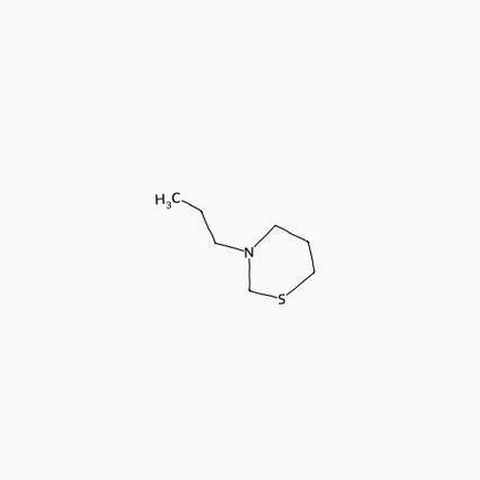 CCCN1CCCSC1